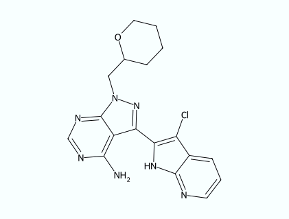 Nc1ncnc2c1c(-c1[nH]c3ncccc3c1Cl)nn2CC1CCCCO1